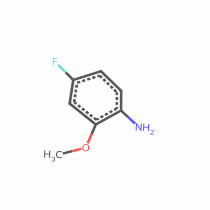 COc1cc(F)ccc1N